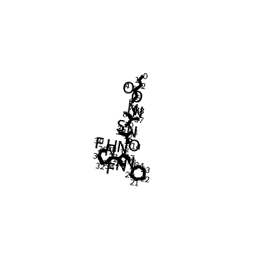 CCCC(=O)OCn1cc(-c2nc(C(=O)Nc3cn(C4CCCCC4)nc3-c3nc(F)ccc3F)cs2)cn1